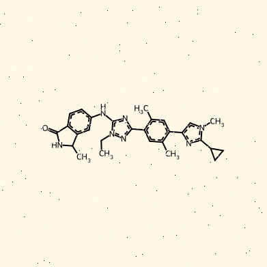 CCn1nc(-c2cc(C)c(-c3cn(C)c(C4CC4)n3)cc2C)nc1Nc1ccc2c(c1)C(C)NC2=O